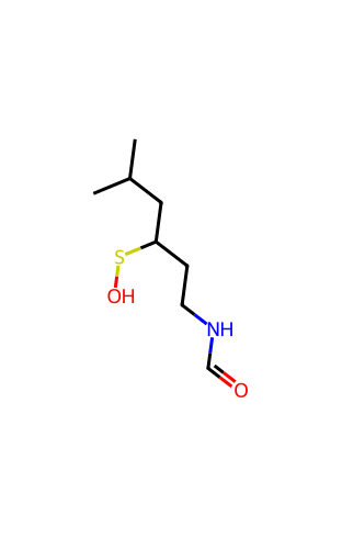 CC(C)CC(CCNC=O)SO